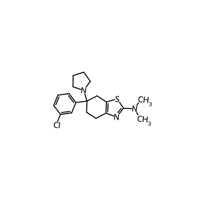 CN(C)c1nc2c(s1)CC(c1cccc(Cl)c1)(N1CCCC1)CC2